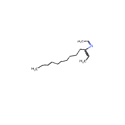 C/C=N\C(=C\C)CCCCCCCCCC